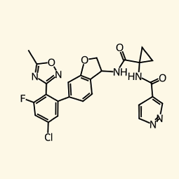 Cc1nc(-c2c(F)cc(Cl)cc2-c2ccc3c(c2)OCC3NC(=O)C2(NC(=O)c3ccnnc3)CC2)no1